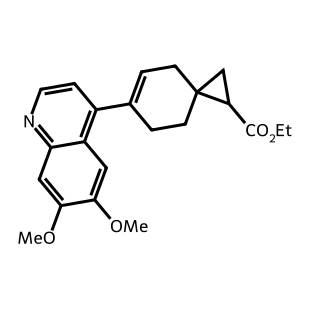 CCOC(=O)C1CC12CC=C(c1ccnc3cc(OC)c(OC)cc13)CC2